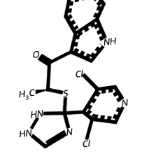 C[C@H](SC1(c2c(Cl)cncc2Cl)N=CNN1)C(=O)c1c[nH]c2ccccc12